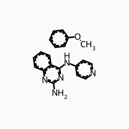 COc1ccccc1.Nc1nc(Nc2ccncc2)c2ccccc2n1